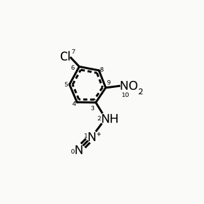 N#[N+]Nc1ccc(Cl)cc1[N+](=O)[O-]